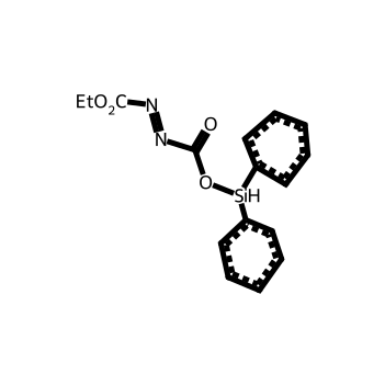 CCOC(=O)N=NC(=O)O[SiH](c1ccccc1)c1ccccc1